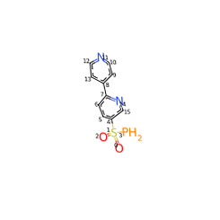 O=S(=O)(P)c1ccc(-c2ccncc2)nc1